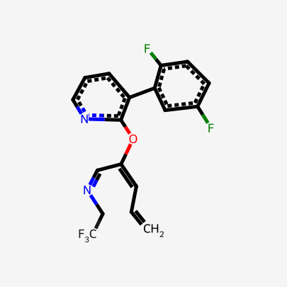 C=C/C=C(\C=N/CC(F)(F)F)Oc1ncccc1-c1cc(F)ccc1F